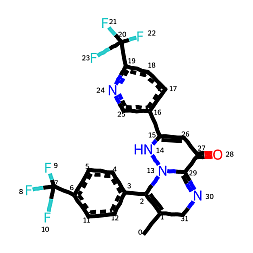 CC1=C(c2ccc(C(F)(F)F)cc2)N2NC(c3ccc(C(F)(F)F)nc3)=CC(=O)C2=NC1